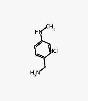 CNc1ccc(CN)cc1.Cl